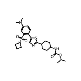 CC(C)OC(=O)NC1CCC(c2ncc(-c3ccc(N(C)C)cc3S(=O)(=O)N3CCC3)s2)CC1